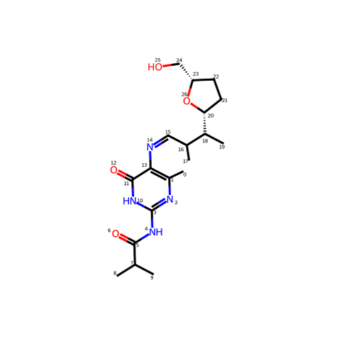 Cc1nc(NC(=O)C(C)C)[nH]c(=O)c1/N=C\C(C)C(C)[C@H]1CC[C@@H](CO)O1